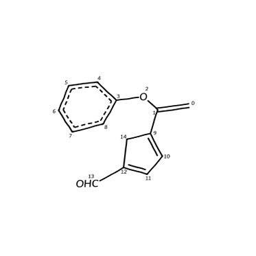 C=C(Oc1ccccc1)C1=CC=C(C=O)C1